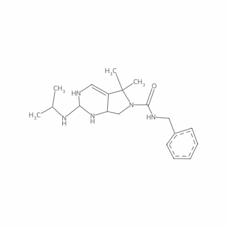 CC(C)NC1NC=C2C(CN(C(=O)NCc3ccccc3)C2(C)C)N1